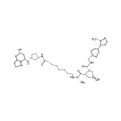 CCCc1cc(N[C@@H]2CCC(NC(=O)CCCCCCCN[C@H](C(=O)C3C[C@H](O)C[C@H]3C(=O)NCc3ccc(-c4scnc4C)cc3)C(C)(C)C)C2)n2nccc2n1